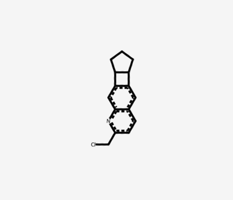 ClCc1ccc2cc3c(cc2n1)C1CCCC31